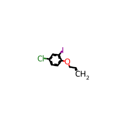 C=CCOc1ccc(Cl)cc1I